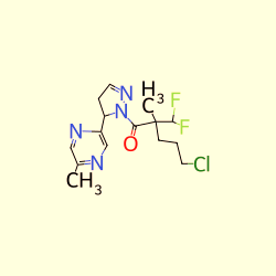 Cc1cnc(C2CC=NN2C(=O)C(C)(CCCCl)C(F)F)cn1